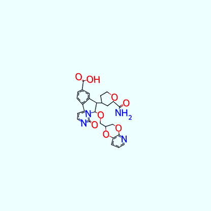 NC(=O)C1CC(C2c3cc(C(=O)O)ccc3-c3ccnc(=O)n3C2OCC2COc3ncccc3O2)CCO1